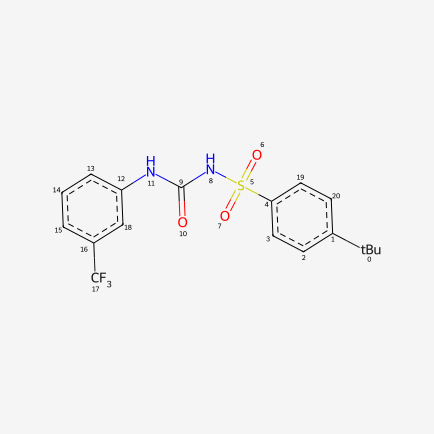 CC(C)(C)c1ccc(S(=O)(=O)NC(=O)Nc2cccc(C(F)(F)F)c2)cc1